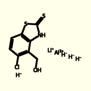 OCc1c(Cl)ccc2sc(=S)[nH]c12.[Al+3].[H-].[H-].[H-].[H-].[Li+]